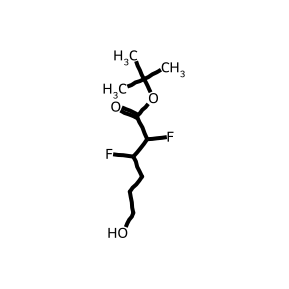 CC(C)(C)OC(=O)C(F)C(F)CCCO